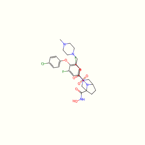 CN1CCN(CCOC(=O)N2CC3CCC(C(=O)NO)(C2)N3S(=O)(=O)c2cc(F)c(Oc3ccc(Cl)cc3)c(F)c2)CC1